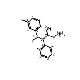 Cc1cccc(N(C)C(c2ccccc2)C(O)CN)c1